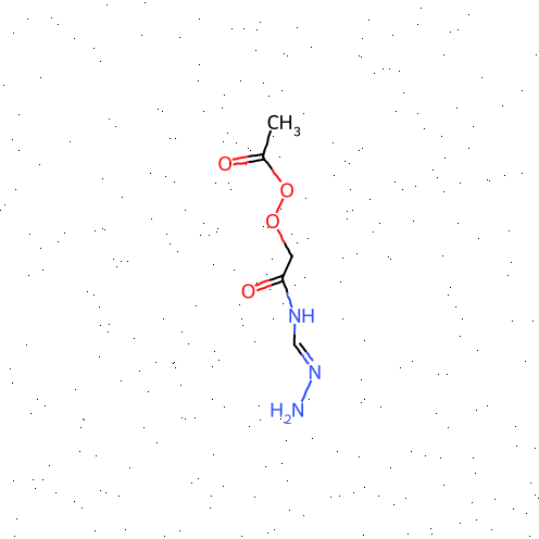 CC(=O)OOCC(=O)NC=NN